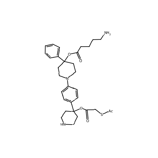 CC(=O)SCC(=O)OC1(c2ccc(N3CCC(OC(=O)CCCCN)(c4ccccc4)CC3)cc2)CCNCC1